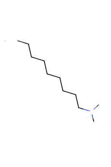 Br.CCCCCCCCCCCCCCCN(C)C